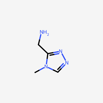 Cn1cnnc1CN